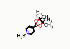 BN1CC=C(B2OC(C)(C)C(C)(C)O2)CC1